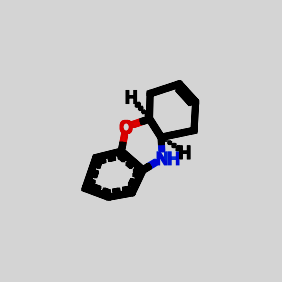 C1=CC[C@H]2Nc3ccccc3O[C@H]2C1